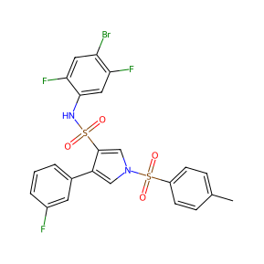 Cc1ccc(S(=O)(=O)n2cc(-c3cccc(F)c3)c(S(=O)(=O)Nc3cc(F)c(Br)cc3F)c2)cc1